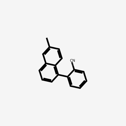 Cc1ccc2c(-c3ccccc3C#N)cccc2c1